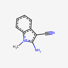 Cn1c(N)c(C#N)c2ccccc21